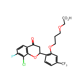 O=C(O)COCCCOc1cc(C(F)(F)F)ccc1C1CC(=O)c2ccc(F)c(Cl)c2O1